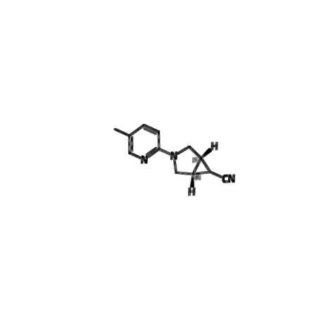 Cc1ccc(N2C[C@@H]3C(C#N)[C@@H]3C2)nc1